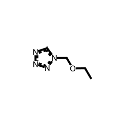 CCOCn1[c]nnn1